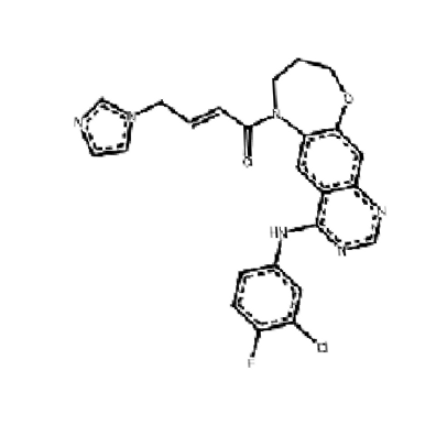 O=C(/C=C/Cn1ccnc1)N1CCCOc2cc3ncnc(Nc4ccc(F)c(Cl)c4)c3cc21